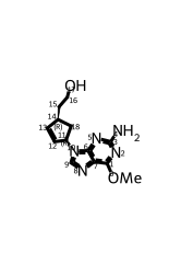 COc1nc(N)nc2c1ncn2[C@H]1C=C[C@@H](CCO)C1